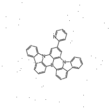 c1ccc(-c2cc3c4c(c2)-n2c5ccccc5c5cccc(c52)B4c2cccc4c5ccccc5n-3c24)nc1